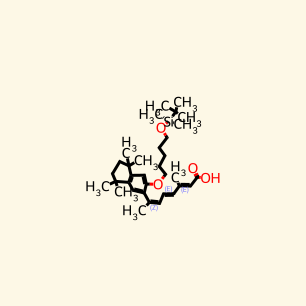 C/C(=C/C=C/C(C)=C/C(=O)O)c1cc2c(cc1OCCCCCO[Si](C)(C)C(C)(C)C)C(C)(C)CCC2(C)C